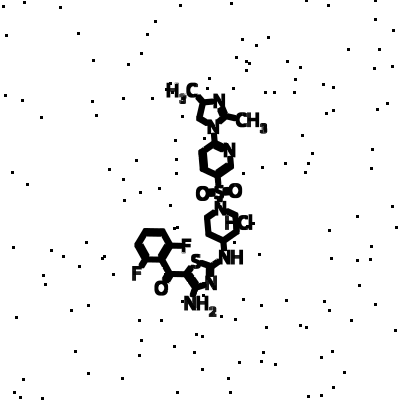 CC1=NC(C)CN1c1ccc(S(=O)(=O)N2CCC(Nc3nc(N)c(C(=O)c4c(F)cccc4F)s3)CC2)cn1.Cl